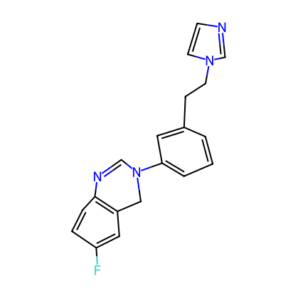 Fc1ccc2c(c1)CN(c1cccc(CCn3ccnc3)c1)C=N2